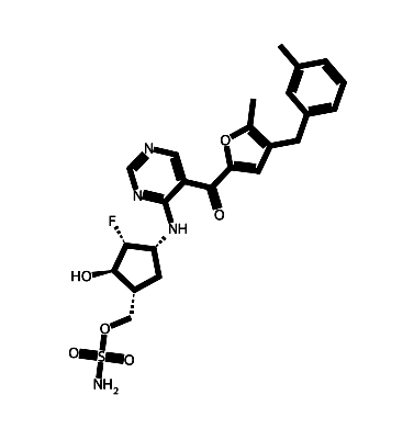 Cc1cccc(Cc2cc(C(=O)c3cncnc3N[C@@H]3C[C@H](COS(N)(=O)=O)[C@@H](O)[C@@H]3F)oc2C)c1